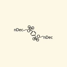 CCCCCCCCCCCCOS(=O)(=O)c1ccc(S(=O)(=O)OCCCCCCCCCCCC)cc1